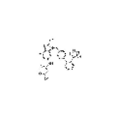 CCc1nc2c(C)cc(NC(=C[N+](=O)[O-])SC)cc2n1Cc1ccc(-c2ccccc2-c2nnn[nH]2)cc1